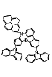 C1=CC2=CCc3cc(N4c5ccc(-n6c7ccccc7c7ccccc76)cc5B5c6cc(-n7c8ccccc8c8ccccc87)ccc6-c6cccc4c65)cc4c3C2C(=C1)C=C4